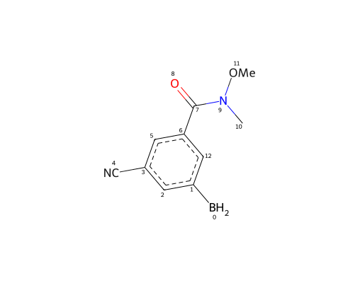 Bc1cc(C#N)cc(C(=O)N(C)OC)c1